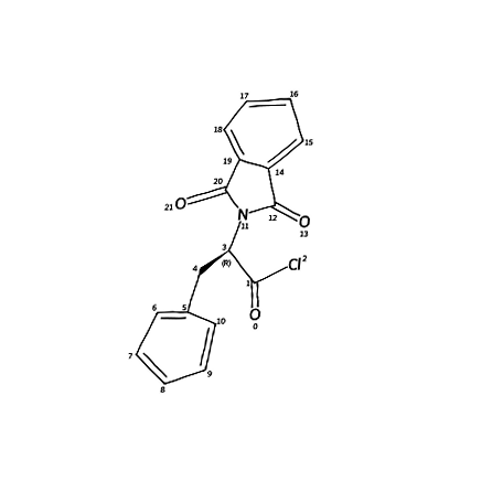 O=C(Cl)[C@@H](Cc1ccccc1)N1C(=O)c2ccccc2C1=O